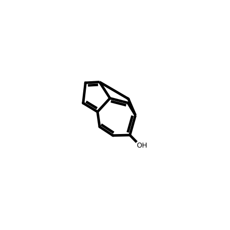 Oc1ccc2ccc3c-2cc1C3